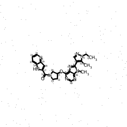 CCn1ncc(-c2nc3c(OC4CCN(C(=O)c5cc6ncccc6[nH]5)C4)ncnc3n2C)c1C